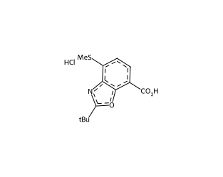 CSc1ccc(C(=O)O)c2oc(C(C)(C)C)nc12.Cl